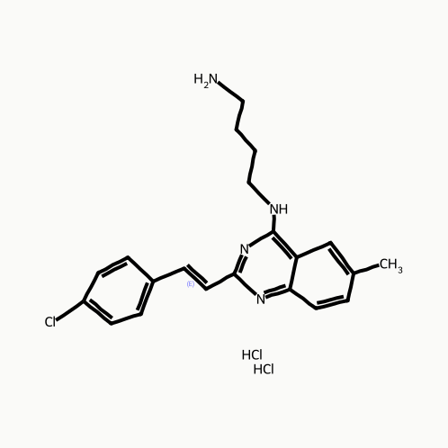 Cc1ccc2nc(/C=C/c3ccc(Cl)cc3)nc(NCCCCN)c2c1.Cl.Cl